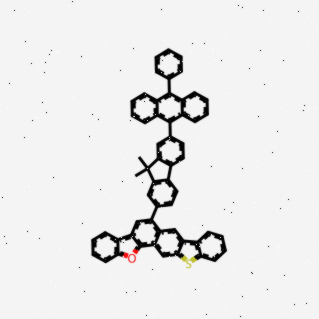 CC1(C)c2cc(-c3c4ccccc4c(-c4ccccc4)c4ccccc34)ccc2-c2ccc(-c3cc4c5ccccc5oc4c4cc5sc6ccccc6c5cc34)cc21